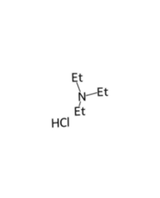 CCN(CC)CC.Cl